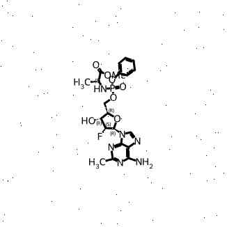 COC(=O)[C@H](C)NP(=O)(OC[C@H]1O[C@@H](n2cnc3c(N)nc(C)nc32)[C@@H](F)[C@@H]1O)Oc1ccccc1